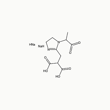 CC(N1CCN=C1CC(C(=O)O)C(=O)O)P(=O)=O.[NaH].[NaH]